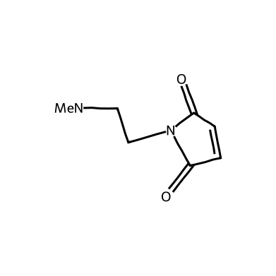 CNCCN1C(=O)C=CC1=O